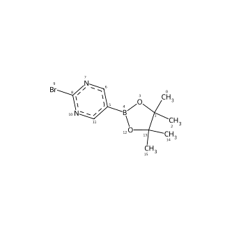 CC1(C)OB(c2cnc(Br)nc2)OC1(C)C